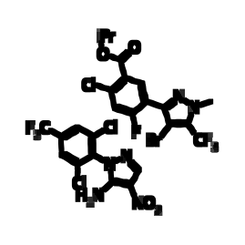 CC(C)OC(=O)c1cc(-c2nn(C)c(C(F)(F)F)c2Br)c(F)cc1Cl.Nc1c([N+](=O)[O-])cnn1-c1c(Cl)cc(C(F)(F)F)cc1Cl